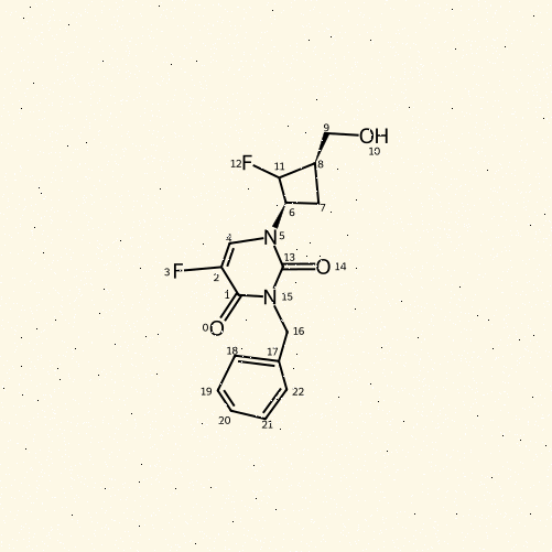 O=c1c(F)cn([C@@H]2C[C@H](CO)C2F)c(=O)n1Cc1ccccc1